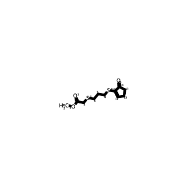 COC(=O)CSCCCSC1=CCCC1=O